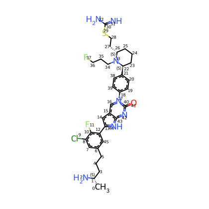 C[C@H](N)CCCc1cc(Cl)c(F)c(-c2cc3cn(-c4ccc([C@@H]5CCC[C@@H](CCSC(=N)N)N5CCCF)cc4)c(=O)nc3[nH]2)c1